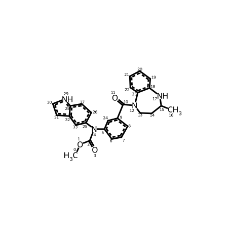 COC(=O)N(c1cccc(C(=O)N2CCC(C)Nc3ccccc32)c1)c1ccc2[nH]ccc2c1